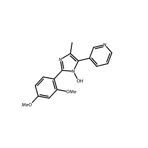 COc1ccc(-c2nc(C)c(-c3cccnc3)n2O)c(OC)c1